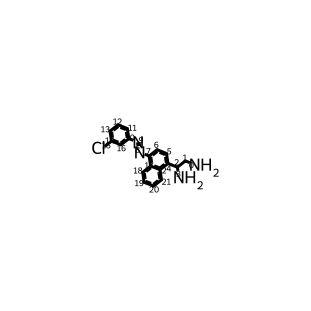 NCC(N)c1ccc(N=Nc2cccc(Cl)c2)c2ccccc12